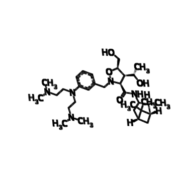 C[C@H](O)[C@@H]1[C@H](CO)ON(Cc2cccc(N(CCN(C)C)CCN(C)C)c2)[C@@H]1C(=O)NC1C[C@H]2C[C@@H]([C@@H]1C)C2(C)C